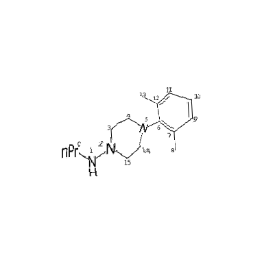 CCCNN1CCN(c2c(C)cccc2C)CC1